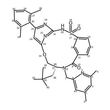 Cc1cc(C)nc(CN2C(=O)c3cccc(c3)S(=O)(=O)Nc3nc(cc(-c4c(C)cccc4C)n3)OC[C@H]2CC(C)(C)C)c1